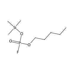 CCCCCOP(=O)(F)O[Si](C)(C)C